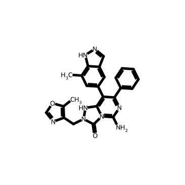 Cc1ocnc1Cn1[nH]c2c(-c3cc(C)c4[nH]ncc4c3)c(-c3ccccc3)nc(N)[n+]2c1=O